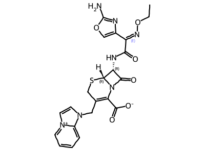 CCO/N=C(/C(=O)N[C@@H]1C(=O)N2C(C(=O)[O-])=C(Cn3cc[n+]4ccccc34)CS[C@H]12)c1coc(N)n1